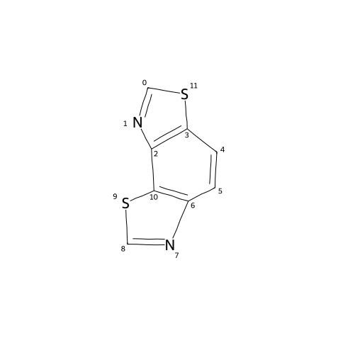 c1nc2c(ccc3ncsc32)s1